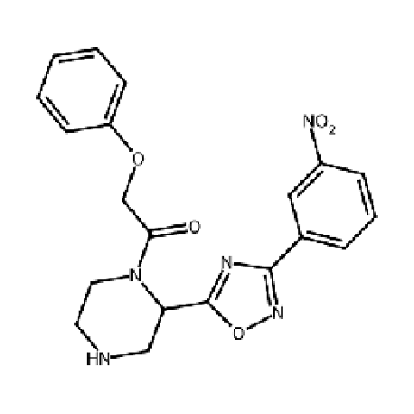 O=C(COc1ccccc1)N1CCNCC1c1nc(-c2cccc([N+](=O)[O-])c2)no1